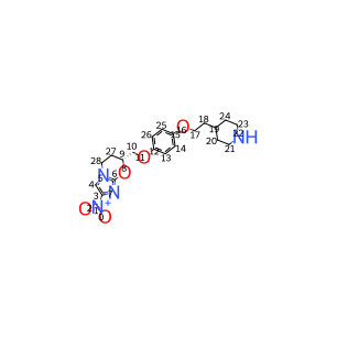 O=[N+]([O-])c1cn2c(n1)O[C@@H](COc1ccc(OCCC3CCNCC3)cc1)CC2